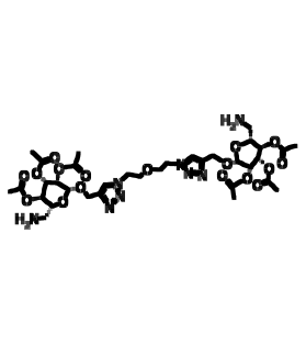 CC(=O)O[C@@H]1[C@H](OC(C)=O)[C@H](OCc2cn(CCOCCn3cc(CO[C@@H]4O[C@H](CN)[C@@H](OC(C)=O)[C@H](OC(C)=O)[C@@H]4OC(C)=O)nn3)nn2)O[C@H](CN)[C@H]1OC(C)=O